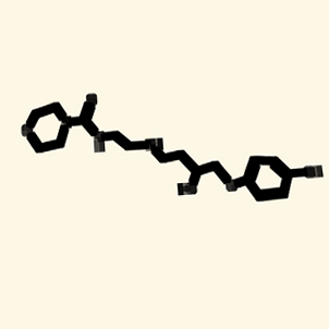 O=C(NCCNCCC(O)COc1ccc(O)cc1)N1CCOCC1